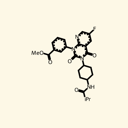 COC(=O)c1cccc(-n2c(=O)n(C3CCC(NC(=O)C(C)C)CC3)c(=O)c3cc(F)cnc32)c1